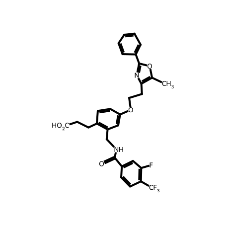 Cc1oc(-c2ccccc2)nc1CCOc1ccc(CCC(=O)O)c(CNC(=O)c2ccc(C(F)(F)F)c(F)c2)c1